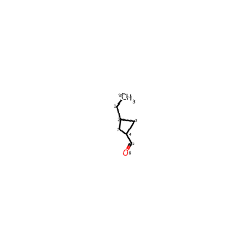 CCC1CC([C]=O)C1